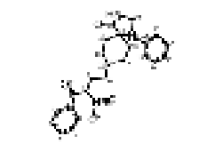 O=C(c1ccccc1)C(CCN1CCC2(CC1)C(=O)NCN2c1ccccc1)[N+](=O)[O-]